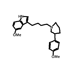 COc1ccc(C2CCCN(CCCCc3c[nH]c4ccc(OC)cc34)C2)cc1